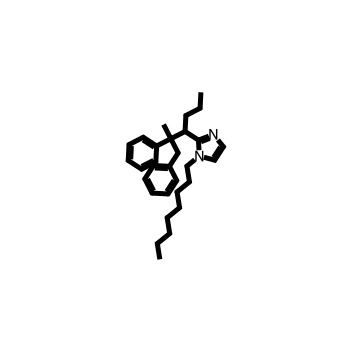 CCCCCCCCn1ccnc1C(CCC)C(C)(Cc1ccccc1)c1ccccc1